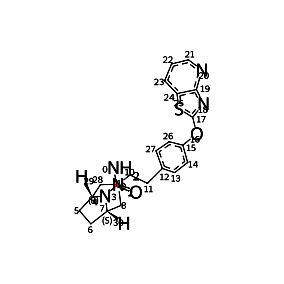 NC(=O)N1[C@@H]2CC[C@H]1CN(CCc1ccc(Oc3nc4ncccc4s3)cc1)C2